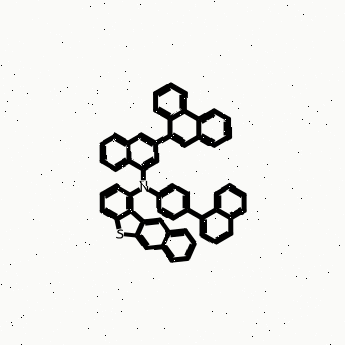 c1ccc2cc3c(cc2c1)sc1cccc(N(c2ccc(-c4cccc5ccccc45)cc2)c2cc(-c4cc5ccccc5c5ccccc45)cc4ccccc24)c13